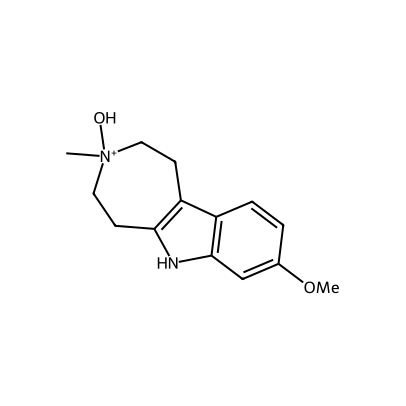 COc1ccc2c3c([nH]c2c1)CC[N+](C)(O)CC3